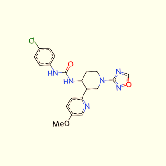 COc1ccc(C2CN(c3ncon3)CCC2NC(=O)Nc2ccc(Cl)cc2)nc1